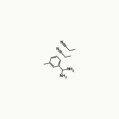 CCC#N.CCC#N.Cc1cccc(C(N)N)c1